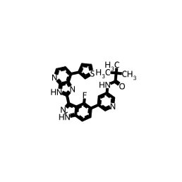 CC(C)(C)C(=O)Nc1cncc(-c2ccc3[nH]nc(-c4nc5c(-c6ccsc6)ccnc5[nH]4)c3c2F)c1